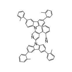 Cc1ccccc1-c1ccc2c(c1)c1cc(-c3ccccc3C)ccc1n2-c1cc(-c2ccccc2C#N)c(-n2c3ccc(-c4ccccc4C)cc3c3cc(-c4ccccc4C)ccc32)cn1